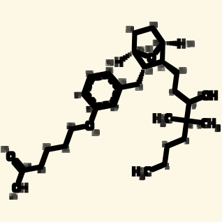 CCCCC(C)(C)C(O)CC[C@H]1[C@H](Cc2cccc(OCCCCC(=O)O)c2)[C@H]2CC[C@@H]1O2